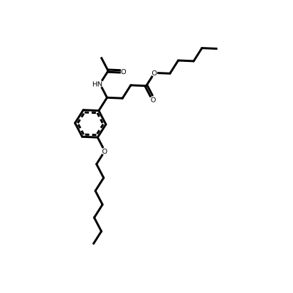 CCCCCCCOc1cccc(C(CCC(=O)OCCCCC)NC(C)=O)c1